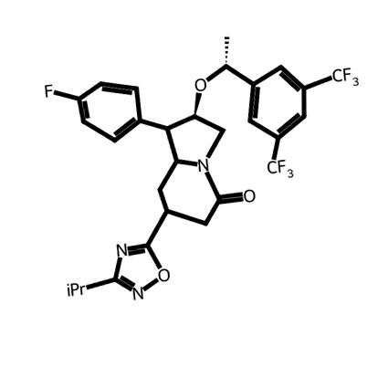 CC(C)c1noc(C2CC(=O)N3C[C@H](O[C@H](C)c4cc(C(F)(F)F)cc(C(F)(F)F)c4)C(c4ccc(F)cc4)C3C2)n1